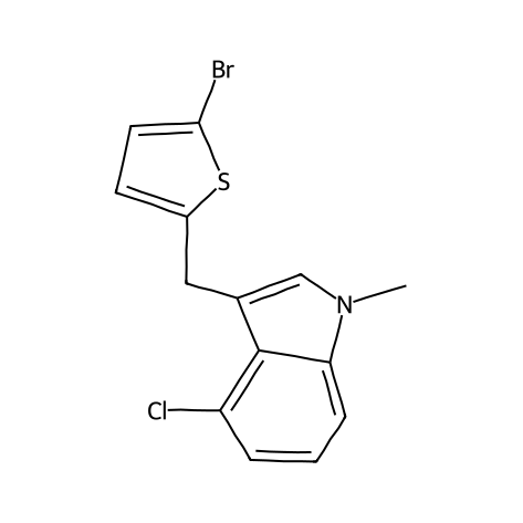 Cn1cc(Cc2ccc(Br)s2)c2c(Cl)cccc21